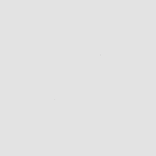 FC(F)(F)CCc1ccc(C(F)(F)F)cc1